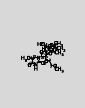 COCCO[C@@H]1[C@H](O[Si](C)(C)C(C)(C)C)C([C@H](C)O)O[C@H]1n1cc(C)c(=O)[nH]c1=O